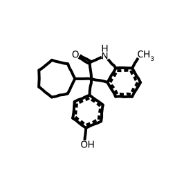 Cc1cccc2c1NC(=O)C2(c1ccc(O)cc1)C1CCCCCC1